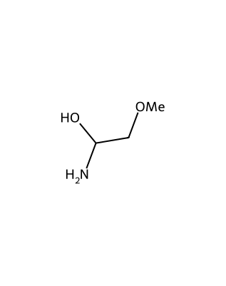 COCC(N)O